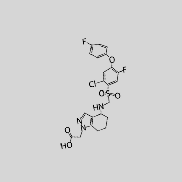 O=C(O)Cn1ncc2c1CCC[C@H]2NCS(=O)(=O)c1cc(F)c(Oc2ccc(F)cc2)cc1Cl